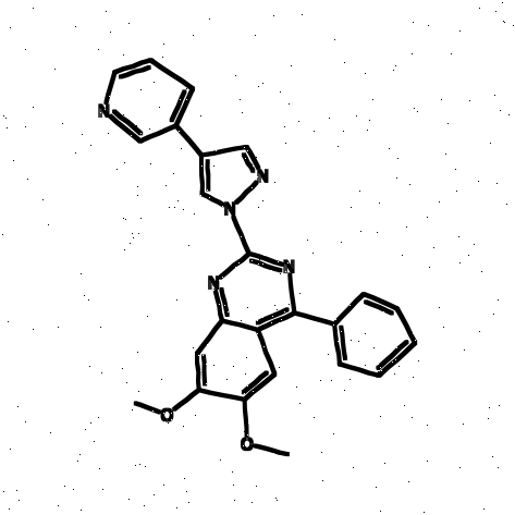 COc1cc2nc(-n3cc(-c4cccnc4)cn3)nc(-c3ccccc3)c2cc1OC